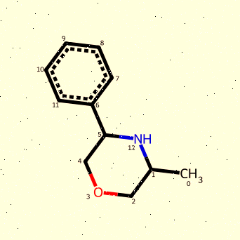 CC1COCC(c2ccccc2)N1